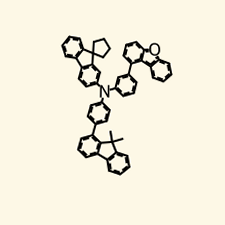 CC1(C)c2ccccc2-c2cccc(-c3ccc(N(c4cccc(-c5cccc6oc7ccccc7c56)c4)c4ccc5c(c4)C4(CCCC4)c4ccccc4-5)cc3)c21